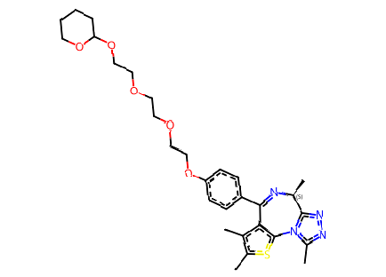 Cc1sc2c(c1C)C(c1ccc(OCCOCCOCCOC3CCCCO3)cc1)=N[C@@H](C)c1nnc(C)n1-2